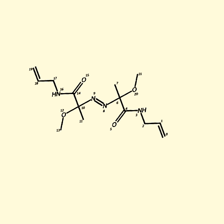 C=CCNC(=O)C(C)(/N=N/C(C)(OC)C(=O)NCC=C)OC